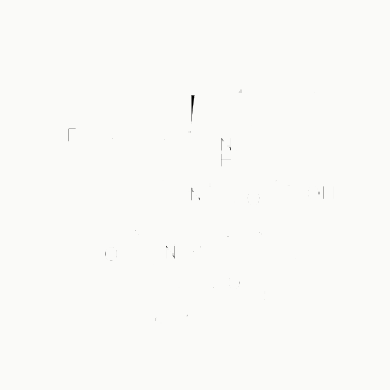 C[C@@H](Nc1ccccc1C(=O)O)c1cc(F)cc2c(=O)n(C3CC3)c([C@@H]3CCCO3)nc12